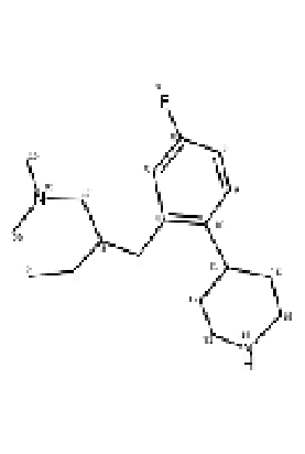 CCC(Cc1cc(F)ccc1C1CCNCC1)CN(C)C